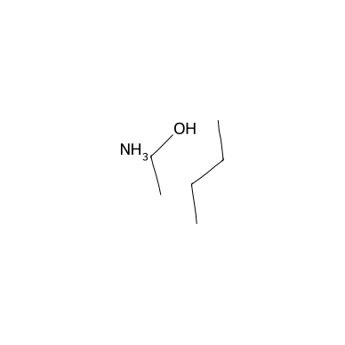 CCCC.CCO.N